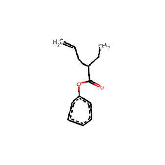 C=CCC(CC)C(=O)Oc1ccccc1